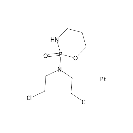 O=P1(N(CCCl)CCCl)NCCCO1.[Pt]